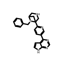 c1ccc(CN2C3CNCC2(c2ccc(-c4ncnc5[nH]ccc45)cn2)C3)cc1